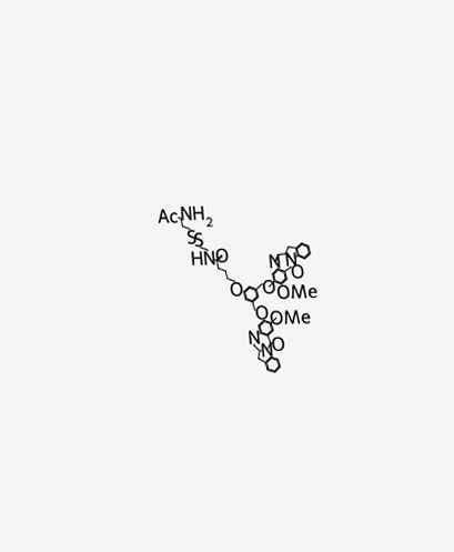 COc1cc2c(cc1OCc1cc(COc3cc4c(cc3OC)C(=O)N3c5ccccc5CC3C=N4)cc(OCCCCC(=O)NCCSSCCC(N)C(C)=O)c1)N=CC1Cc3ccccc3N1C2=O